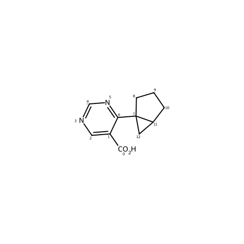 O=C(O)c1cn[c]nc1C12CCCC1C2